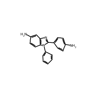 Nc1ccc(-c2nc3cc(N)ccc3n2-c2ccccc2)cc1